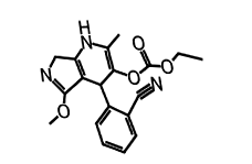 CCOC(=O)OC1=C(C)NC2=C(C(OC)=NC2)C1c1ccccc1C#N